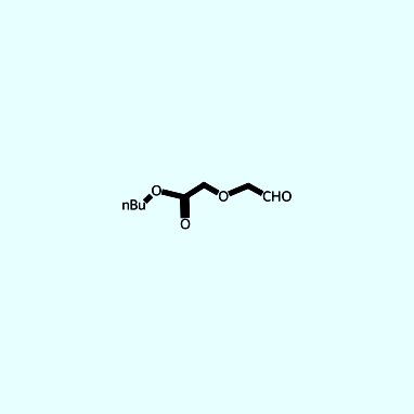 CCCCOC(=O)COCC=O